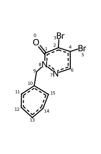 O=c1c(Br)c(Br)cnn1Cc1ccccc1